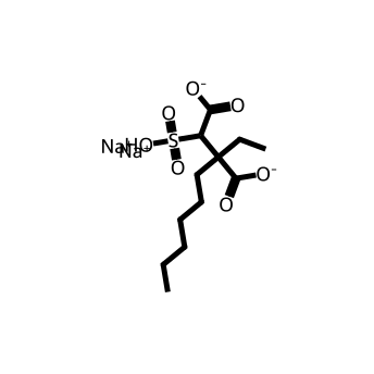 CCCCCCC(CC)(C(=O)[O-])C(C(=O)[O-])S(=O)(=O)O.[Na+].[Na+]